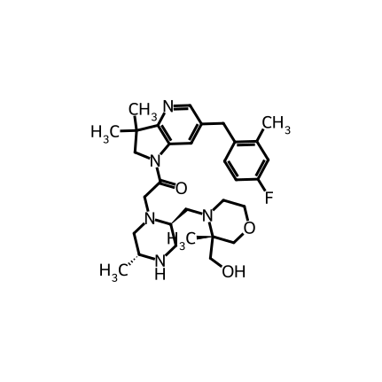 Cc1cc(F)ccc1Cc1cnc2c(c1)N(C(=O)CN1C[C@@H](C)NC[C@@H]1CN1CCOC[C@]1(C)CO)CC2(C)C